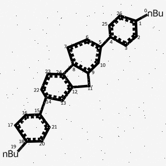 CCCCc1ccc(-c2ccc3c(c2)[CH]c2cc(-c4ccc(CCCC)cc4)ccc2-3)cc1